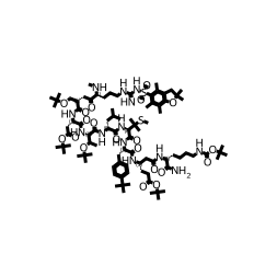 CN[C@@H](CCCNC(=N)NS(=O)(=O)c1c(C)c(C)c2c(c1C)CC(C)(C)O2)C(=O)C[C@@H](COC(C)(C)C)C(=O)N[C@@H](CC(=O)OC(C)(C)C)C(=O)N[C@H](C(=O)N[C@H](CC(C)C)C(=O)N[C@H](C(=O)N[C@@H](Cc1ccc(C(C)(C)C)cc1)C(=O)N[C@@H](CCC(=O)OC(C)(C)C)CC(=O)N[C@H](CCCCNC(=O)OC(C)(C)C)C(N)=O)C(C)(C)SC)C(C)OC(C)(C)C